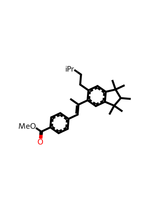 COC(=O)c1ccc(/C=C(\C)c2cc3c(cc2CCC(C)C)C(C)(C)C(C)C3(C)C)cc1